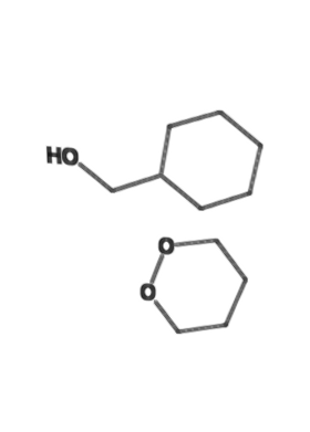 C1CCOOC1.OCC1CCCCC1